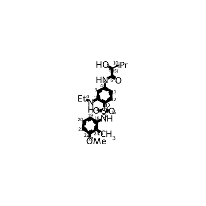 CCNc1cc(NC(=O)[C@@H](O)C(C)C)ccc1S(=O)(=O)Nc1cccc(OC)c1C